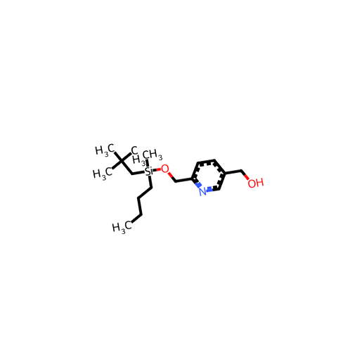 CCCC[Si](C)(CC(C)(C)C)OCc1ccc(CO)cn1